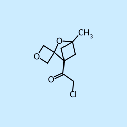 CC12CC(C(=O)CCl)(C1)C1(COC1)O2